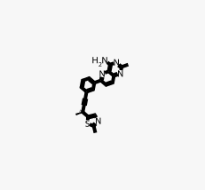 Cc1nc(N)c2nc(-c3cccc(C#C[C@H](C)c4cnc(C)s4)c3)ccc2n1